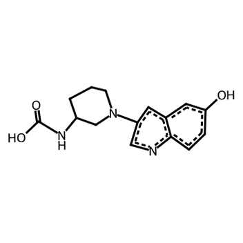 O=C(O)NC1CCCN(c2cnc3ccc(O)cc3c2)C1